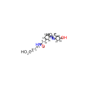 O=C(O)CCCCCNC(=O)CCc1cccc(N=Nc2ccc(O)cc2C(=O)O)c1